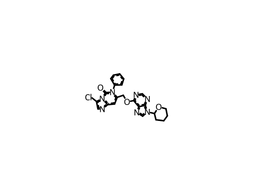 O=c1n(-c2ccccc2)c(COc2ncnc3c2ncn3C2CCCCO2)cc2ncc(Cl)n12